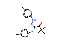 Cc1ccc(N/N=C(/Nc2ccc(C)cc2)C(=O)C(C)(C)C)cc1